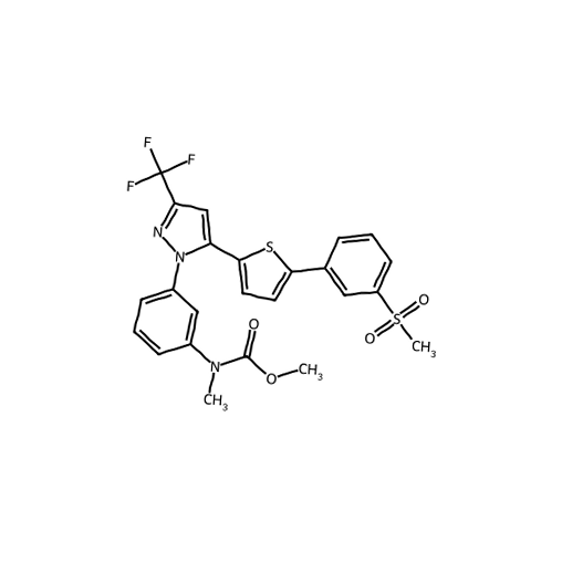 COC(=O)N(C)c1cccc(-n2nc(C(F)(F)F)cc2-c2ccc(-c3cccc(S(C)(=O)=O)c3)s2)c1